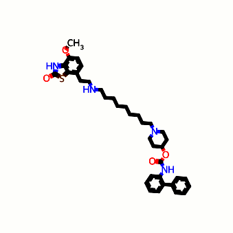 COc1ccc(CCNCCCCCCCCCN2CCC(OC(=O)Nc3ccccc3-c3ccccc3)CC2)c2sc(=O)[nH]c12